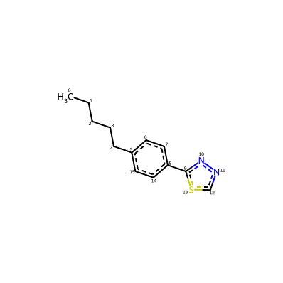 CCCCCc1ccc(-c2nncs2)cc1